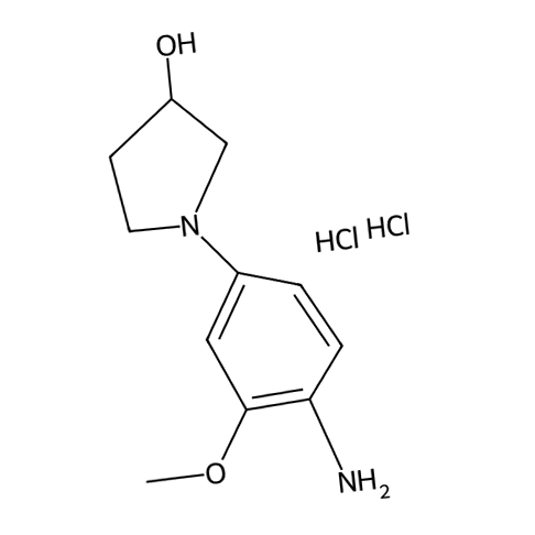 COc1cc(N2CCC(O)C2)ccc1N.Cl.Cl